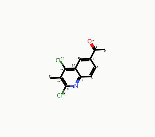 CC(=O)c1ccc2nc(Cl)c(C)c(Cl)c2c1